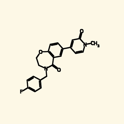 Cn1ccc(-c2ccc3c(c2)C(=O)N(Cc2ccc(F)cc2)CCO3)cc1=O